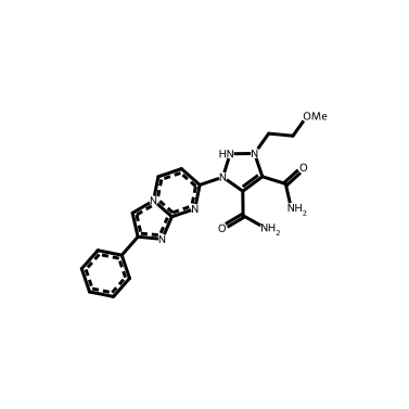 COCCN1NN(c2ccn3cc(-c4ccccc4)nc3n2)C(C(N)=O)=C1C(N)=O